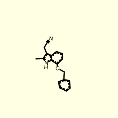 Cc1[nH]c2c(OCc3ccccc3)cccc2c1CC#N